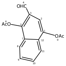 CC(=O)Oc1cc(C=O)c(OC(C)=O)c2ccccc12